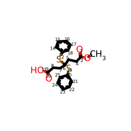 COC(=O)CCC(CCC(=O)O)(Sc1ccccc1)Sc1ccccc1